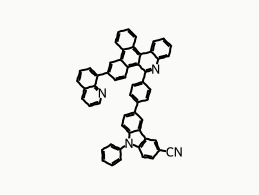 N#Cc1ccc2c(c1)c1cc(-c3ccc(-c4nc5ccccc5c5c6ccccc6c6cc(-c7cccc8cccnc78)ccc6c45)cc3)ccc1n2-c1ccccc1